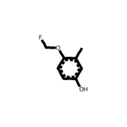 Cc1cc(O)ccc1OCF